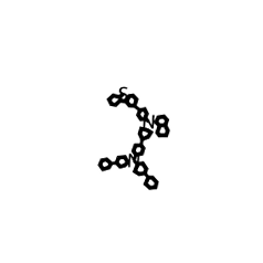 c1ccc(-c2ccc(N(c3ccc(-c4ccccc4)cc3)c3ccc(-c4ccc(N(c5ccc(-c6ccc7sc8ccccc8c7c6)cc5)c5cccc6ccccc56)cc4)cc3)cc2)cc1